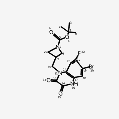 CC(C)(C)OC(=O)N1CC(Cn2c(=O)c(=O)[nH]c3cc(Br)c(F)cc32)C1